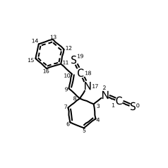 S=C=NC1C=CC=CC1(C=Cc1ccccc1)N=C=S